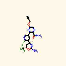 C#CCOc1cnc(C(N)=O)c(-c2cnc(F)c([C@]3(C)C[C@@H](C(F)(F)F)OC(N)=N3)c2)n1